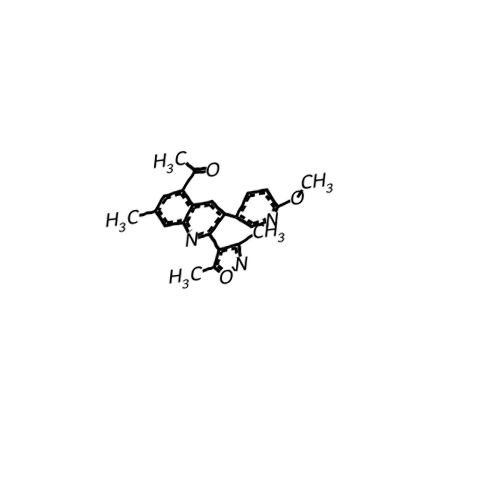 COc1ccc(-c2cc3c(C(C)=O)cc(C)cc3nc2-c2c(C)noc2C)cn1